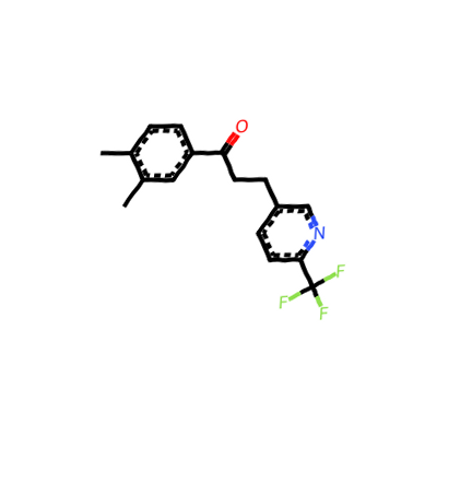 Cc1ccc(C(=O)CCc2ccc(C(F)(F)F)nc2)cc1C